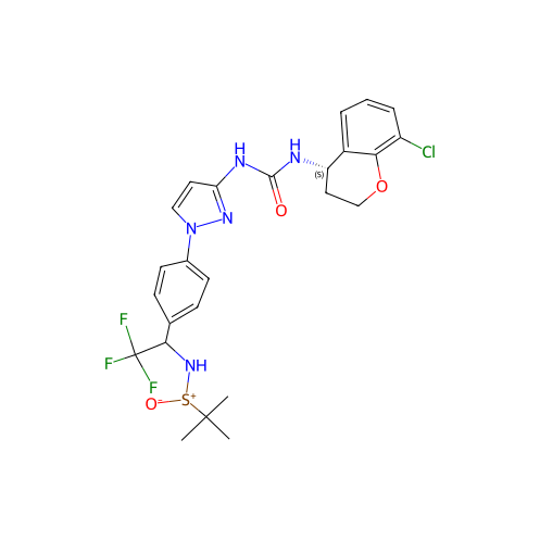 CC(C)(C)[S+]([O-])NC(c1ccc(-n2ccc(NC(=O)N[C@H]3CCOc4c(Cl)cccc43)n2)cc1)C(F)(F)F